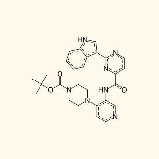 CC(C)(C)OC(=O)N1CCN(c2ccncc2NC(=O)c2ccnc(-c3c[nH]c4ccccc34)n2)CC1